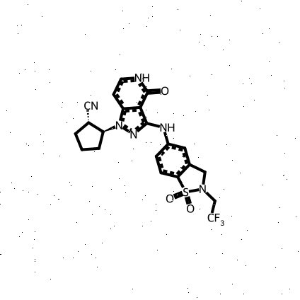 N#C[C@H]1CCC[C@@H]1n1nc(Nc2ccc3c(c2)CN(CC(F)(F)F)S3(=O)=O)c2c(=O)[nH]ccc21